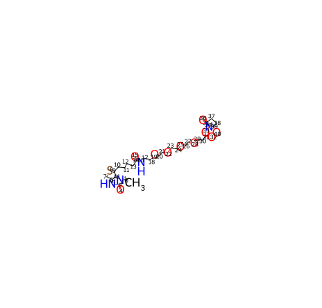 CCN1C(=O)NC2CS[C@@H](CCCCC(=O)NCCOCCOCCOCCOCCC(=O)ON3C(=O)CCC3=O)C21